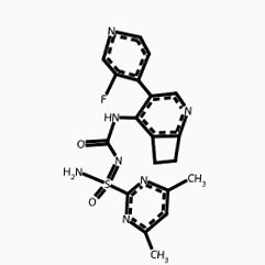 Cc1cc(C)nc(S(N)(=O)=NC(=O)Nc2c(-c3ccncc3F)cnc3c2CC3)n1